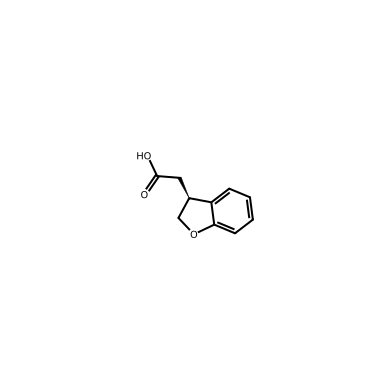 O=C(O)C[C@@H]1COc2ccccc21